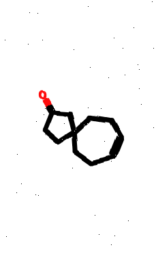 O=C1CCC2(CCC=CCC2)C1